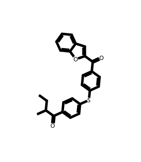 CCC(C)C(=O)c1ccc(Sc2ccc(C(=O)c3cc4ccccc4o3)cc2)cc1